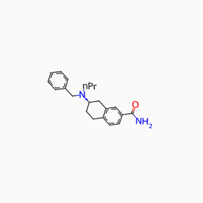 CCCN(Cc1ccccc1)[C@@H]1CCc2ccc(C(N)=O)cc2C1